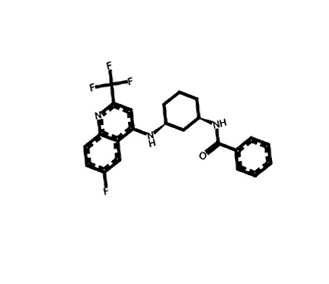 O=C(N[C@@H]1CCC[C@H](Nc2cc(C(F)(F)F)nc3ccc(F)cc23)C1)c1ccccc1